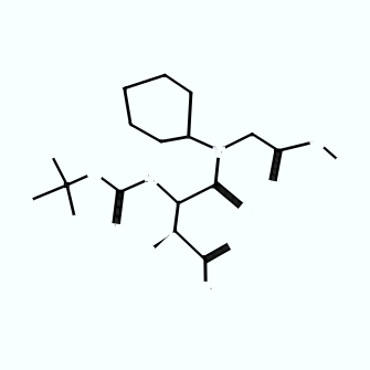 COC(=O)CN(C(=O)C(NC(=O)OC(C)(C)C)[C@H](C)C(=O)O)C1CCCCC1